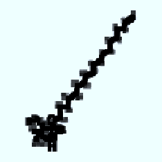 C=CCCCCCCCCCCCCCCCCCOP(=O)(O)C(CCC)[N+](C)(C)C